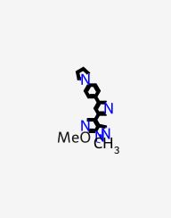 COc1ncc(-c2cncc(-c3ccc(N4CCCC4)cc3)c2)c2cnn(C)c12